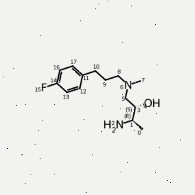 C[C@@H](N)[C@@H](O)CN(C)CCCc1ccc(F)cc1